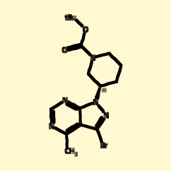 Cc1ncnc2c1c(Br)nn2[C@@H]1CCCN(C(=O)OC(C)(C)C)C1